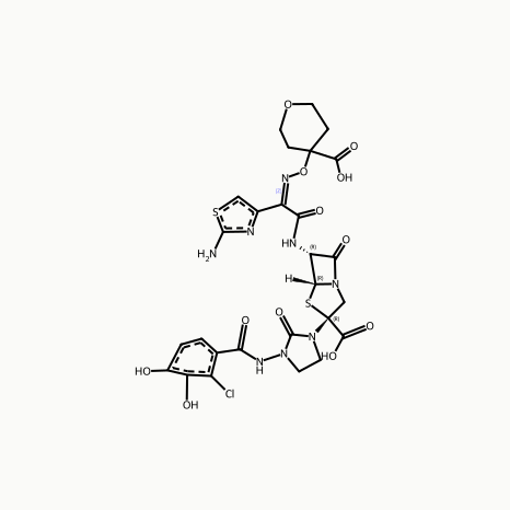 Nc1nc(/C(=N/OC2(C(=O)O)CCOCC2)C(=O)N[C@@H]2C(=O)N3C[C@@](C(=O)O)(N4CCN(NC(=O)c5ccc(O)c(O)c5Cl)C4=O)S[C@H]23)cs1